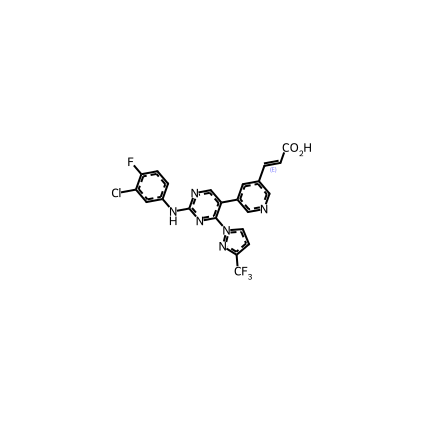 O=C(O)/C=C/c1cncc(-c2cnc(Nc3ccc(F)c(Cl)c3)nc2-n2ccc(C(F)(F)F)n2)c1